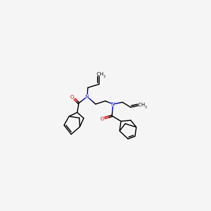 C=CCN(CCN(CC=C)C(=O)C1CC2C=CC1C2)C(=O)C1CC2C=CC1C2